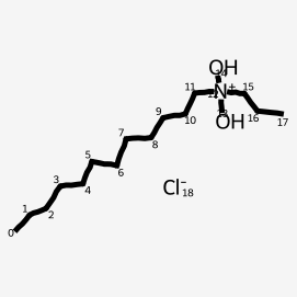 CCCCCCCCCCCC[N+](O)(O)CCC.[Cl-]